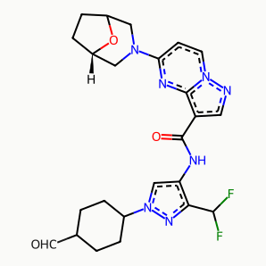 O=CC1CCC(n2cc(NC(=O)c3cnn4ccc(N5CC6CC[C@@H](C5)O6)nc34)c(C(F)F)n2)CC1